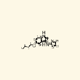 CCCCOc1ccc2[nH]nc(Nc3nccs3)c2c1